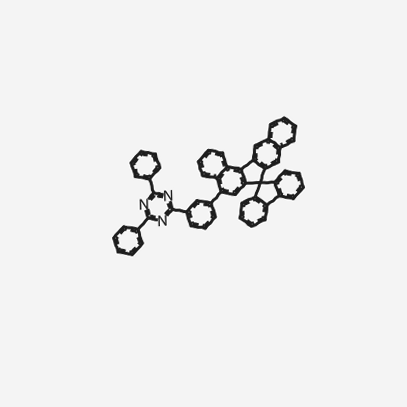 c1ccc(-c2nc(-c3ccccc3)nc(-c3cccc(-c4cc5c(c6ccccc46)-c4cc6ccccc6cc4C54c5ccccc5-c5ccccc54)c3)n2)cc1